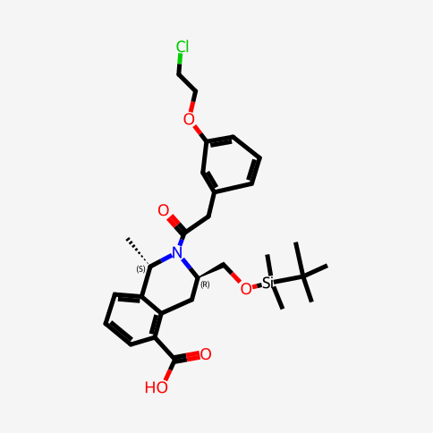 C[C@H]1c2cccc(C(=O)O)c2C[C@H](CO[Si](C)(C)C(C)(C)C)N1C(=O)Cc1cccc(OCCCl)c1